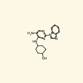 Nc1cnc(-n2cnc3ccccc32)nc1NC1CCC(O)CC1